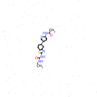 CCNC(=O)Nc1nc2cc(-c3ccc(NC(C)=O)nc3)ccc2s1